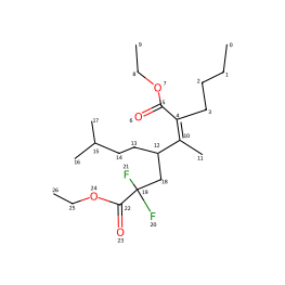 CCCC/C(C(=O)OCC)=C(\C)C(CCC(C)C)CC(F)(F)C(=O)OCC